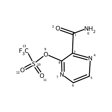 NC(=O)c1nccnc1OS(=O)(=O)C(F)(F)F